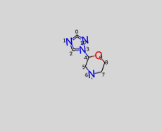 c1ncn(C2C[N]CCO2)n1